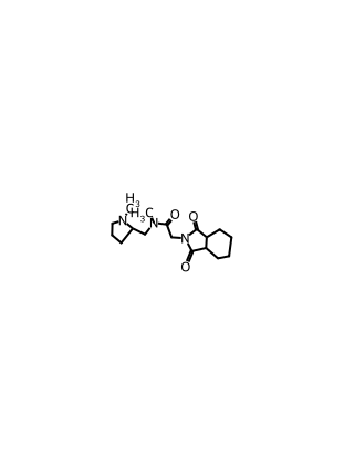 CN(CC1CCCN1C)C(=O)CN1C(=O)C2CCCCC2C1=O